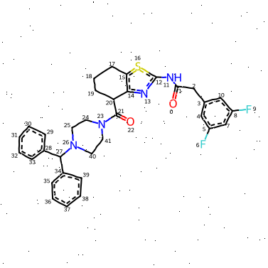 O=C(Cc1cc(F)cc(F)c1)Nc1nc2c(s1)CCCC2C(=O)N1CCN(C(c2ccccc2)c2ccccc2)CC1